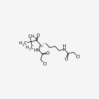 CC(C)(C)C(=O)[C@H](CCCCNC(=O)CCl)NC(=O)CCl